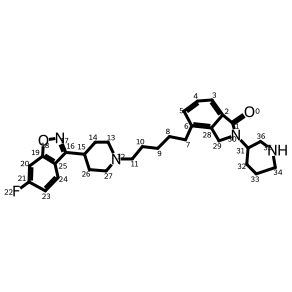 O=C1c2cccc(CCCCCN3CCC(c4noc5cc(F)ccc45)CC3)c2CN1C1CCCNC1